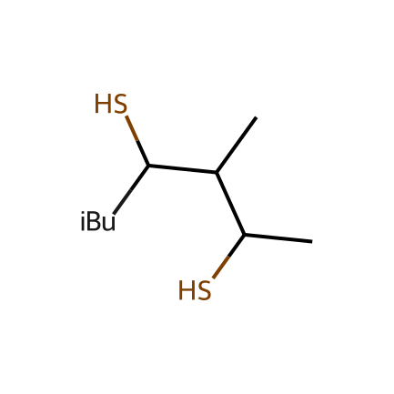 CCC(C)C(S)C(C)C(C)S